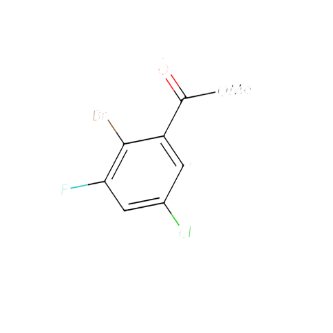 COC(=O)c1cc(Cl)cc(F)c1Br